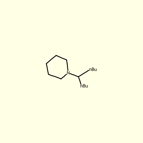 CCCCC(CCCC)N1CCCCC1